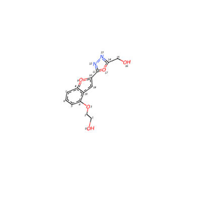 OCCOc1cccc2oc(-c3nnc(CO)o3)cc12